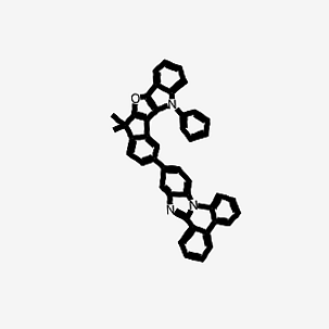 CC1(C)c2ccc(-c3ccc4c(c3)nc3c5ccccc5c5ccccc5n43)cc2-c2c1oc1c3ccccc3n(-c3ccccc3)c21